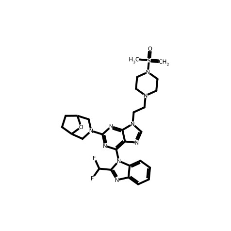 C=S(C)(=O)N1CCN(CCn2cnc3c(-n4c(C(F)F)nc5ccccc54)nc(N4CC5CCC(C4)O5)nc32)CC1